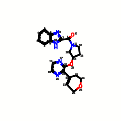 O=C(c1nc2ccccc2[nH]1)N1CCC(Oc2nccnc2C2=CCOCC2)C1